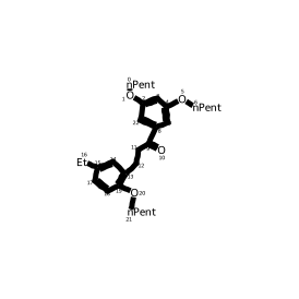 CCCCCOc1cc(OCCCCC)cc(C(=O)CCc2cc(CC)ccc2OCCCCC)c1